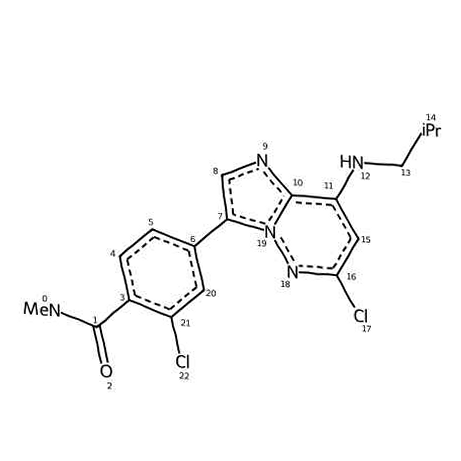 CNC(=O)c1ccc(-c2cnc3c(NCC(C)C)cc(Cl)nn23)cc1Cl